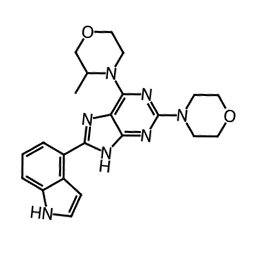 CC1COCCN1c1nc(N2CCOCC2)nc2[nH]c(-c3cccc4[nH]ccc34)nc12